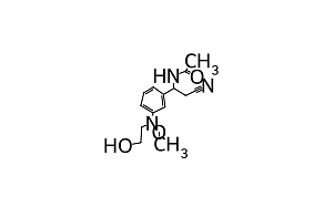 CON(CCO)c1cccc(C(CC#N)NC(C)=O)c1